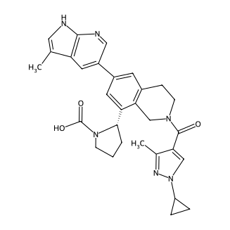 Cc1nn(C2CC2)cc1C(=O)N1CCc2cc(-c3cnc4[nH]cc(C)c4c3)cc([C@@H]3CCCN3C(=O)O)c2C1